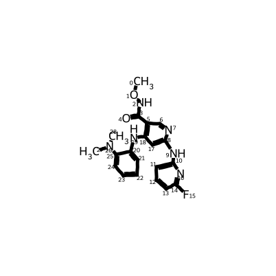 CONC(=O)c1cnc(Nc2cccc(F)n2)cc1Nc1ccccc1N(C)C